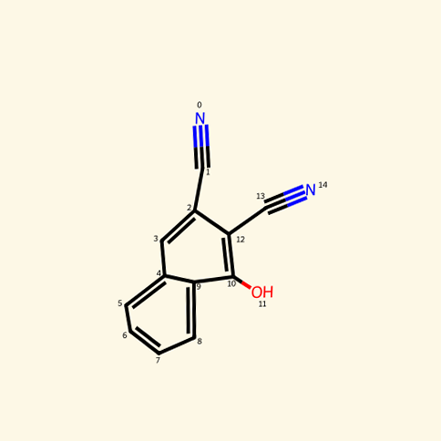 N#Cc1cc2ccccc2c(O)c1C#N